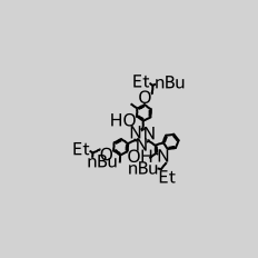 CCCCC(CC)COc1ccc(-c2nc(-c3ccc(OCC(CC)CCCC)c(C)c3O)nc(-c3c(C)n(CC(CC)CCCC)c4ccccc34)n2)c(O)c1C